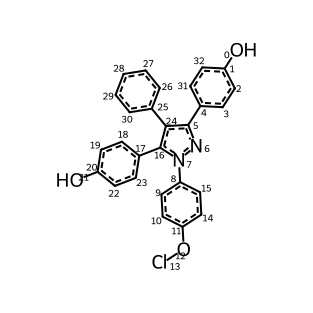 Oc1ccc(-c2nn(-c3ccc(OCl)cc3)c(-c3ccc(O)cc3)c2-c2ccccc2)cc1